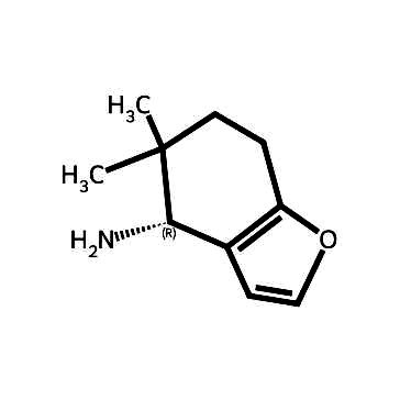 CC1(C)CCc2occc2[C@@H]1N